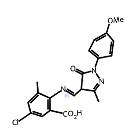 COc1ccc(N2N=C(C)C(/C=N/c3c(C)cc(Cl)cc3C(=O)O)C2=O)cc1